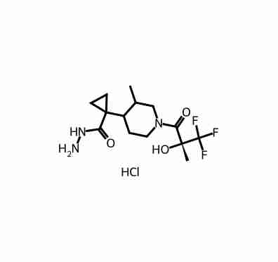 CC1CN(C(=O)[C@@](C)(O)C(F)(F)F)CCC1C1(C(=O)NN)CC1.Cl